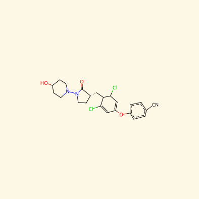 N#Cc1ccc(OC2=CC(Cl)C(C[C@@H]3CCN(N4CCC(O)CC4)C3=O)C(Cl)=C2)cc1